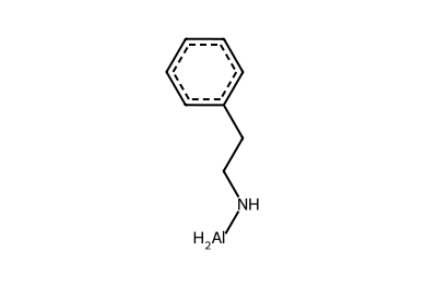 [AlH2][NH]CCc1ccccc1